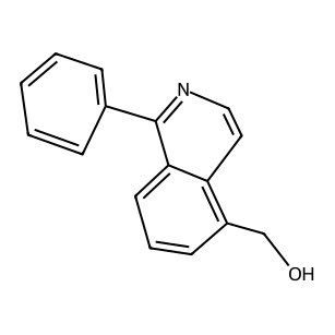 OCc1cccc2c(-c3ccccc3)nccc12